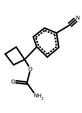 N#Cc1ccc(C2(OC(N)=O)CCC2)cc1